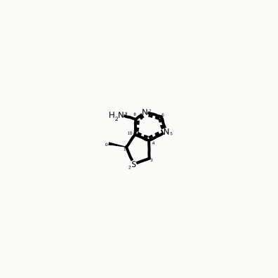 C[C@@H]1SCc2ncnc(N)c21